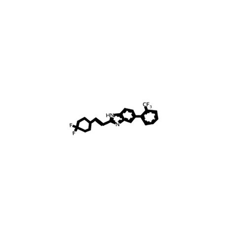 FC1(F)CCC(C=Cc2nc3cc(-c4ccccc4C(F)(F)F)ccc3[nH]2)CC1